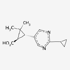 CC1(C)[C@H](C(=O)O)[C@H]1c1cnc(C2CC2)nc1